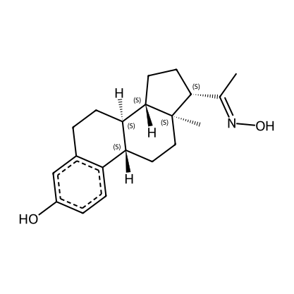 CC(=NO)[C@H]1CC[C@H]2[C@@H]3CCc4cc(O)ccc4[C@H]3CC[C@]12C